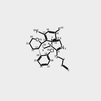 C=CCSc1ncnn1C[C@@]1(c2ccc(F)cc2F)OCCC[C@H]1c1ccccc1Cl